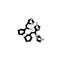 CC(Cc1cnc[nH]1)c1ccccc1.OC(Cc1ccccc1)c1c[nH]cn1.c1c[nH]cn1